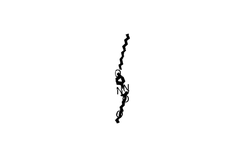 CCCCCCCCCCCCOc1ccc(-c2ncc(OCCCCOCCC)cn2)cc1